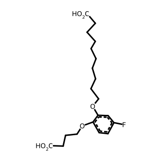 O=C(O)CCCCCCCCCOc1cc(F)ccc1OCCCC(=O)O